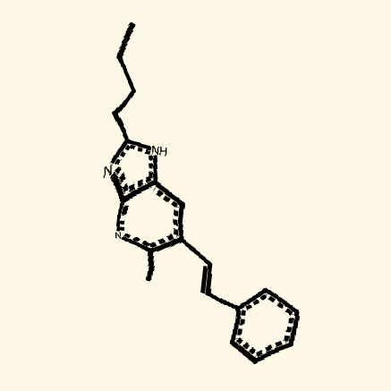 CCCCc1nc2nc(C)c(C=Cc3ccccc3)cc2[nH]1